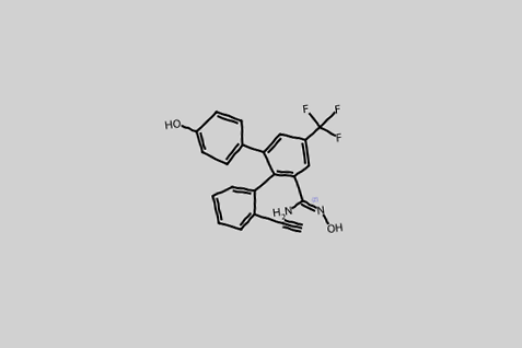 C#Cc1ccccc1-c1c(/C(N)=N/O)cc(C(F)(F)F)cc1-c1ccc(O)cc1